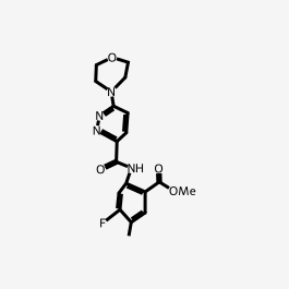 COC(=O)c1cc(C)c(F)cc1NC(=O)c1ccc(N2CCOCC2)nn1